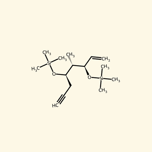 C#CC[C@@H](O[Si](C)(C)C)[C@H](C)[C@@H](C=C)O[Si](C)(C)C